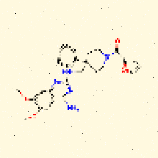 COc1cc2nc(NCC3(c4ccccc4)CCN(C(=O)c4ccco4)CC3)nc(N)c2cc1OC